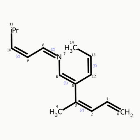 C=C/C=C(/C)C(=C/N=C\C=C/C(C)C)/C=C\C